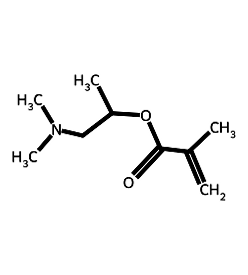 C=C(C)C(=O)OC(C)CN(C)C